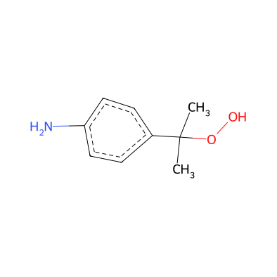 CC(C)(OO)c1ccc(N)cc1